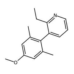 CCc1ncccc1-c1c(C)cc(OC)cc1C